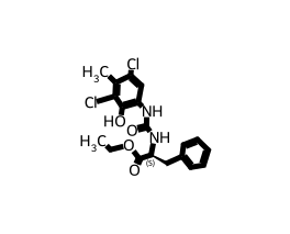 CCOC(=O)[C@H](Cc1ccccc1)NC(=O)Nc1cc(Cl)c(C)c(Cl)c1O